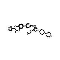 CC(Cn1cnnn1)Oc1cc(-c2cnc(Nc3cn([C@H]4CC[C@H](N5CCOCC5)CC4)nc3OCC(F)F)nc2)ccc1Cl